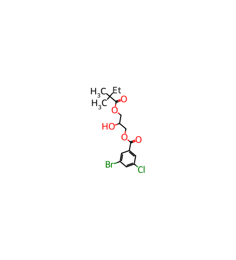 CCC(C)(C)C(=O)OCC(O)COC(=O)c1cc(Cl)cc(Br)c1